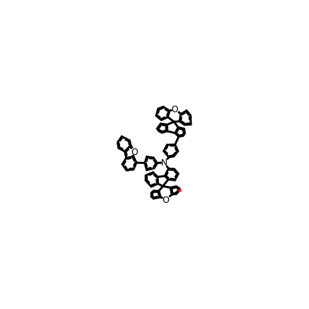 c1ccc2c(c1)Oc1ccccc1C21c2ccccc2-c2c(-c3ccc(N(c4ccc(-c5cccc6c5oc5ccccc56)cc4)c4cccc5c4-c4ccccc4C54c5ccccc5Oc5ccccc54)cc3)cccc21